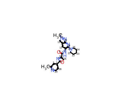 Cc1cc(-c2nc(C(=O)Nc3cc4cn(C)nc4nc3N3CCCCC3)co2)ccn1